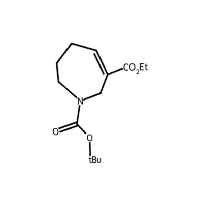 CCOC(=O)C1=CCCCN(C(=O)OC(C)(C)C)C1